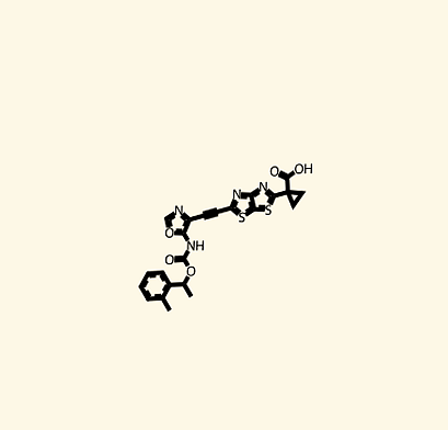 Cc1ccccc1C(C)OC(=O)Nc1ocnc1C#Cc1nc2nc(C3(C(=O)O)CC3)sc2s1